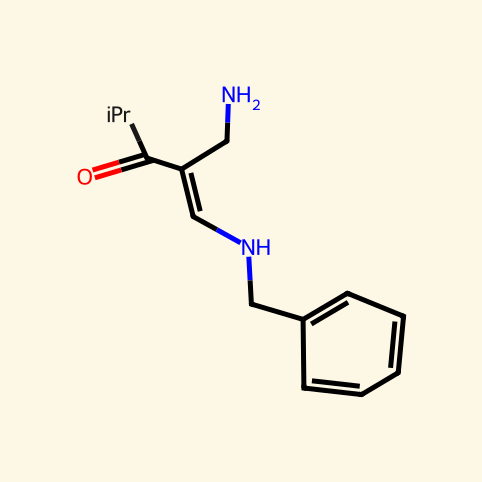 CC(C)C(=O)/C(=C/NCc1ccccc1)CN